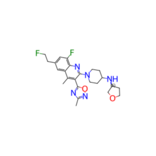 Cc1noc(-c2c(N3CCC(N[C@H]4CCOC4)CC3)nc3c(F)cc(CCF)cc3c2C)n1